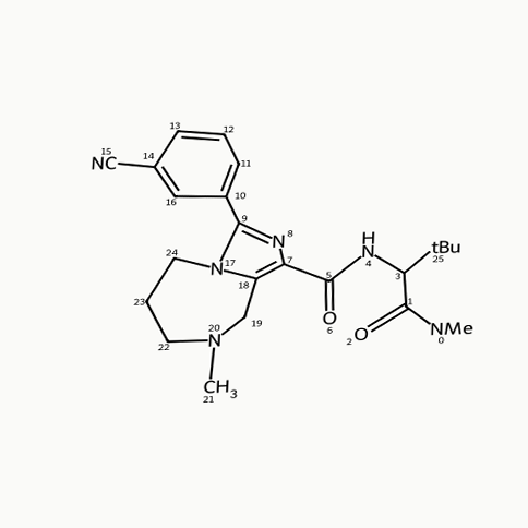 CNC(=O)C(NC(=O)c1nc(-c2cccc(C#N)c2)n2c1CN(C)CCC2)C(C)(C)C